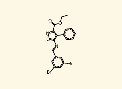 CCOC(=O)c1noc(/N=C/c2cc(Br)cc(Br)c2)c1-c1ccccc1